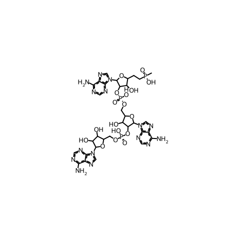 CP(=O)(O)CCC1OC(n2cnc3c(N)ncnc32)C(OP(=O)(O)OCC2OC(n3cnc4c(N)ncnc43)C(OP(=O)(O)OCC3OC(n4cnc5c(N)ncnc54)C(O)C3O)C2O)C1O